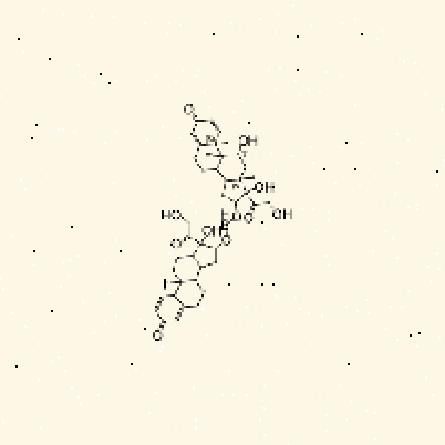 C[C@]12C=CC(=O)C=C1CCC1C3CC(OBOC4CC5C6CCC7=CC(=O)C=CC7C6(F)CCC5C4(O)C(=O)CO)C(O)(C(=O)CO)[C@@]3(C)C[C@H](O)C12F